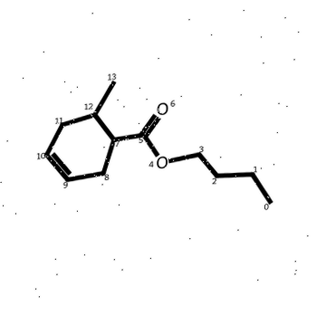 CCCCOC(=O)C1CC=CCC1C